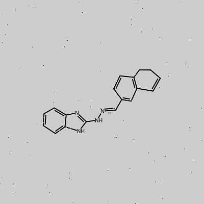 C1=Cc2cc(/C=N/Nc3nc4ccccc4[nH]3)ccc2CC1